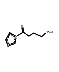 CCCCCCCCC(=O)n1ccnc1